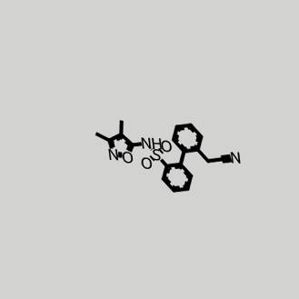 Cc1noc(NS(=O)(=O)c2ccccc2-c2ccccc2CC#N)c1C